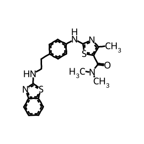 Cc1nc(Nc2ccc(CCNc3nc4ccccc4s3)cc2)sc1C(=O)N(C)C